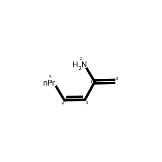 C=C(N)/C=C\CCC